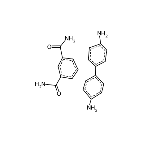 NC(=O)c1cccc(C(N)=O)c1.Nc1ccc(-c2ccc(N)cc2)cc1